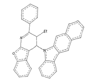 CCC1C(c2ccccc2)=Nc2oc3ccccc3c2C1n1c2ccccc2c2cc3ccccc3cc21